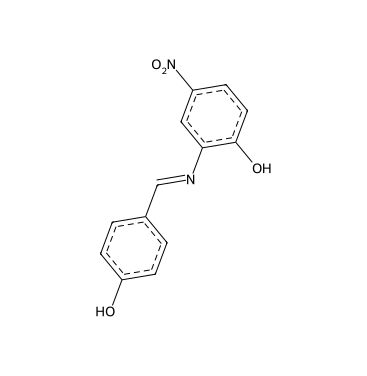 O=[N+]([O-])c1ccc(O)c(N=Cc2ccc(O)cc2)c1